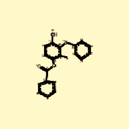 Cc1c(OC(=O)c2ccccc2)ccc(O)c1Sc1ccccc1